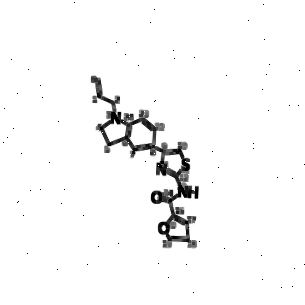 C=CCN1CCc2cc(-c3csc(NC(=O)c4ccco4)n3)ccc21